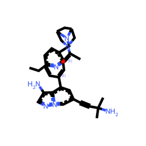 C=C/C(=C\C=C(/C)N1CC2CC(C1)N2Cc1ccc(CC)nc1)c1cc(C#CC(C)(C)N)cn2ncc(N)c12